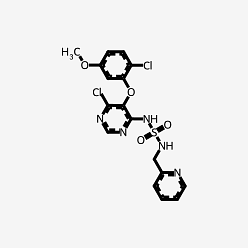 COc1ccc(Cl)c(Oc2c(Cl)ncnc2NS(=O)(=O)NCc2ccccn2)c1